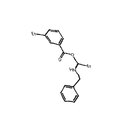 CCc1cccc(C(=O)OC(CC)NCc2ccccc2)c1